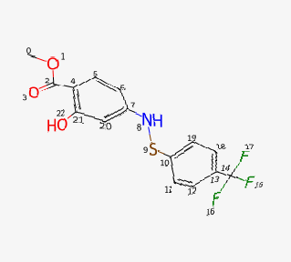 COC(=O)c1ccc(NSc2ccc(C(F)(F)F)cc2)cc1O